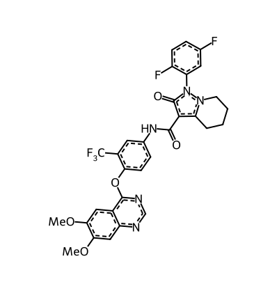 COc1cc2ncnc(Oc3ccc(NC(=O)c4c5n(n(-c6cc(F)ccc6F)c4=O)CCCC5)cc3C(F)(F)F)c2cc1OC